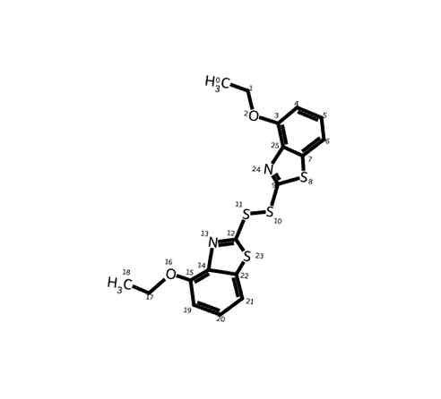 CCOc1cccc2sc(SSc3nc4c(OCC)cccc4s3)nc12